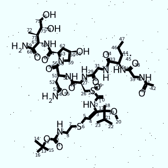 C=C(N/C(=C\CSCCNC(=O)OC(C)(C)C)C(C)(OC)C(C)C)[S+]([O-])C[C@H](NC(=O)CNC(=O)[C@H](NC(=O)CNC(C)=O)[C@@H](C)CC)C(=O)N[C@@H](CC(N)=O)C(=O)N1C[C@H](O)C[C@@H]1C(=O)N[C@H](C(N)=O)[C@@H](C)[C@@H](O)CO